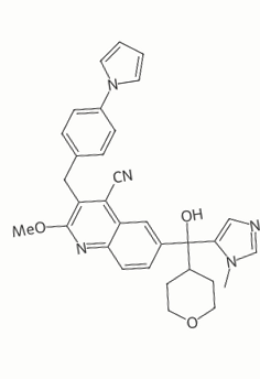 COc1nc2ccc(C(O)(c3cncn3C)C3CCOCC3)cc2c(C#N)c1Cc1ccc(-n2cccc2)cc1